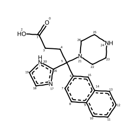 O=C(O)CCC(c1ccc2ccccc2c1)(c1ncc[nH]1)N1CCNCC1